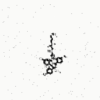 CCOc1cc(C(C)(C)C)ccc1C1=N[C@@](C)(c2ccc(Cl)cc2)[C@@](C)(c2ccc(Cl)cc2)N1C(=O)NCCNCC(=O)NCCCN